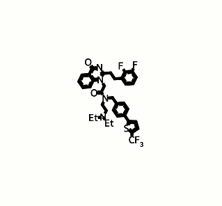 CCN(CC)CCN(Cc1ccc(-c2ccc(C(F)(F)F)s2)cc1)C(=O)Cn1c(CCc2cccc(F)c2F)nc(=O)c2ccccc21